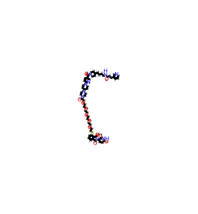 O=C(/C=C/c1cccnc1)NCCCCC1CCN(C(=O)c2ccc(N3CCC(N4CCN(C(=O)COCCOCCOCCOCCOCCSc5cccc6c5C(=O)N(C5CCC(=O)NC5=O)C6=O)CC4)CC3)nc2)CC1